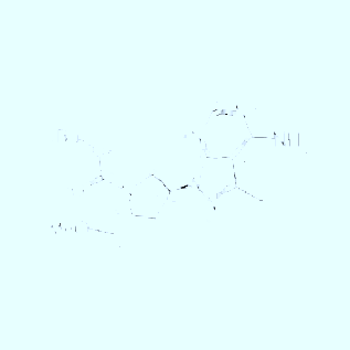 COC[C@H]1C[C@H](n2nc(I)c3c(N)ncnc32)CN1C(=O)OC(C)(C)C